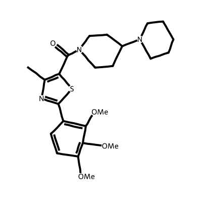 COc1ccc(-c2nc(C)c(C(=O)N3CCC(N4CCCCC4)CC3)s2)c(OC)c1OC